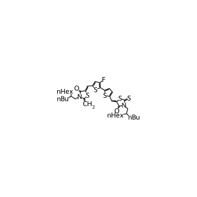 C=c1s/c(=C\c2cc(F)c(-c3ccc(/C=C4\SC(=S)N(CC(CCCC)CCCCCC)C4=O)s3)s2)c(=O)n1CC(CCCC)CCCCCC